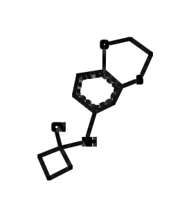 N#CC1(Nc2ccc3c(c2)SCCO3)CCC1